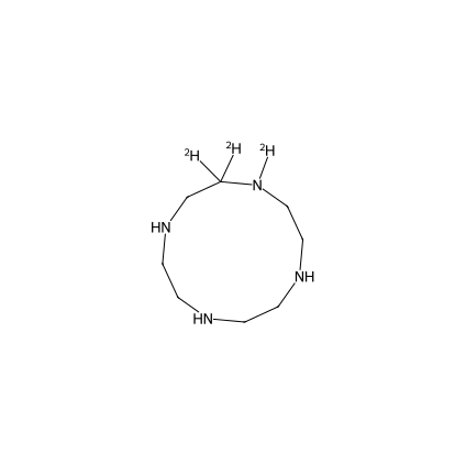 [2H]N1CCNCCNCCNCC1([2H])[2H]